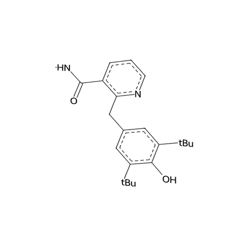 CC(C)(C)c1cc(Cc2ncccc2C([NH])=O)cc(C(C)(C)C)c1O